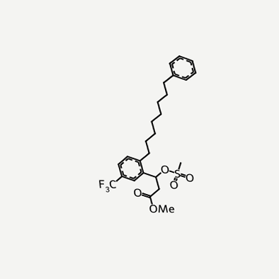 COC(=O)CC(OS(C)(=O)=O)c1cc(C(F)(F)F)ccc1CCCCCCCCc1ccccc1